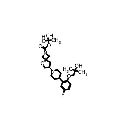 CC(C)(O)COc1ccc(F)cc1C1CCN([C@@H]2COC3(C2)CN(C(=O)OC(C)(C)C)C3)CC1